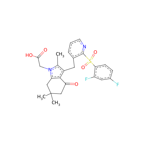 Cc1c(Cc2cccnc2S(=O)(=O)c2ccc(F)cc2F)c2c(n1CC(=O)O)CC(C)(C)CC2=O